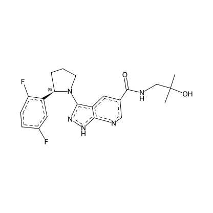 CC(C)(O)CNC(=O)c1cnc2[nH]nc(N3CCC[C@@H]3c3cc(F)ccc3F)c2c1